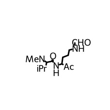 CNC(C(=O)NC(CCCNC=O)C(C)=O)C(C)C